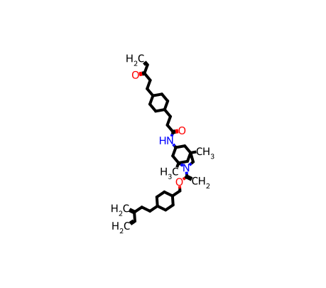 C=CC(=C)CCC1CCC(COC(=C)N2CC3(C)CC(NC(=O)CCC4CCC(CCC(=O)C=C)CC4)CC2(C)C3)CC1